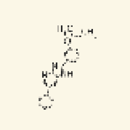 CCC(C)Oc1cccc(-c2nc3ncc(-c4ccccc4)cc3[nH]2)c1